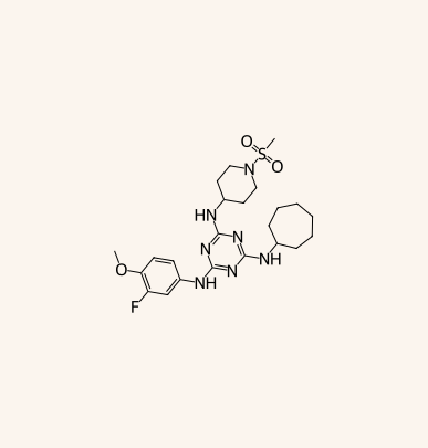 COc1ccc(Nc2nc(NC3CCCCCC3)nc(NC3CCN(S(C)(=O)=O)CC3)n2)cc1F